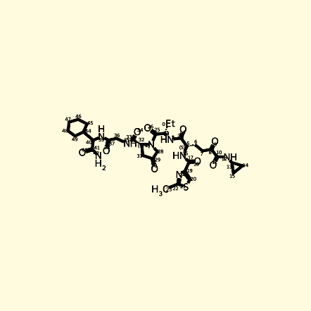 CC[C@H](NC(=O)[C@H](CCC(=O)C(=O)NC1CC1)NC(=O)c1csc(C)n1)C(=O)N1CC(=O)C[C@H]1C(=O)NCC(=O)NC(C(N)=O)C1CCCCC1